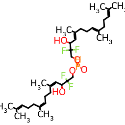 CC(C)=CCCC(C)=CCCC(C)=CC(O)C(F)(F)CO[PH](=O)OCC(F)(F)C(O)C=C(C)CCC=C(C)CCC=C(C)C